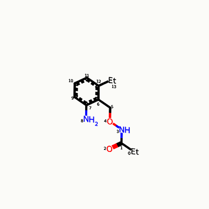 CCC(=O)NOCc1c(N)cccc1CC